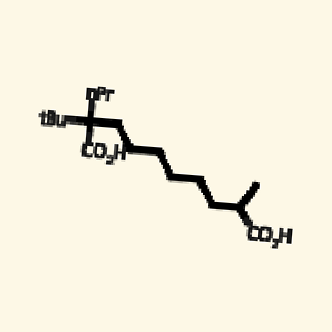 CCCC(CCCCCCC(C)C(=O)O)(C(=O)O)C(C)(C)C